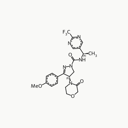 COc1ccc(C2=NN(C(=O)N[C@H](C)c3cnc(C(F)(F)F)nc3)C[C@H]2N2CCOCC2=O)cc1